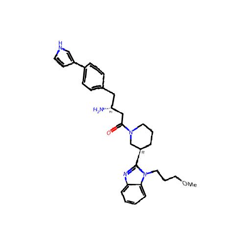 COCCCn1c([C@@H]2CCCN(C(=O)C[C@H](N)Cc3ccc(-c4cc[nH]c4)cc3)C2)nc2ccccc21